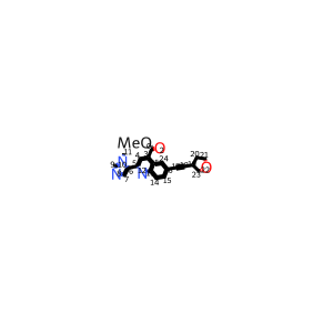 COC(=O)c1cc(-c2cncn2C)nc2ccc(C#CC3CCOC3)cc12